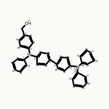 OCc1ccc(N(c2ccccc2)c2ccc(-c3ccc(N(c4ccccc4)c4ccccc4)cc3)cc2)cc1